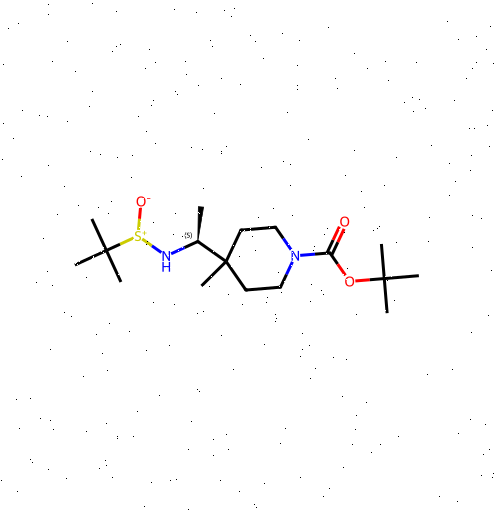 C[C@H](N[S+]([O-])C(C)(C)C)C1(C)CCN(C(=O)OC(C)(C)C)CC1